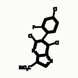 CCOC(=O)c1cnn2c(Cl)c(-c3ccc(Cl)cc3F)c(Cl)nc12